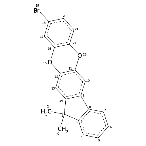 CC1(C)c2ccccc2-c2cc3c(cc21)Oc1cc(Br)ccc1O3